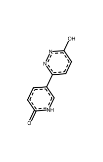 O=c1ccc(-c2ccc(O)nn2)c[nH]1